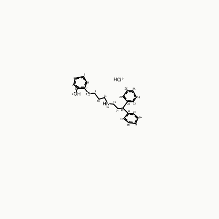 Cl.Oc1ccccc1SCCCNCCC(c1ccccc1)c1ccccc1